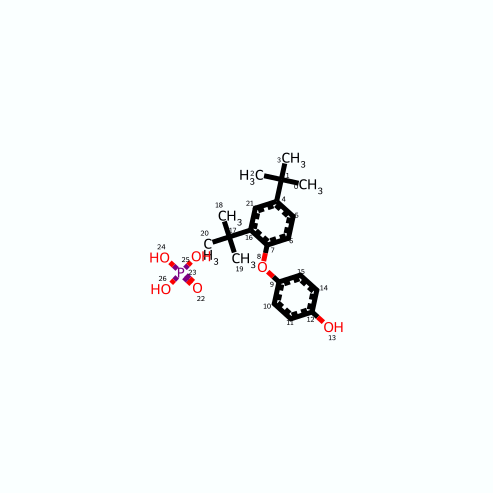 CC(C)(C)c1ccc(Oc2ccc(O)cc2)c(C(C)(C)C)c1.O=P(O)(O)O